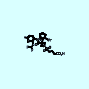 Cc1ccc(NC(=O)C2(c3ccccc3C(C)C)CN(S(=O)(=O)CCCC(=O)O)C2)c(OC(F)F)n1